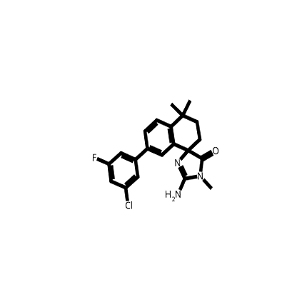 CN1C(=O)C2(CCC(C)(C)c3ccc(-c4cc(F)cc(Cl)c4)cc32)N=C1N